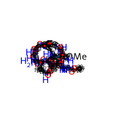 COc1ccc(C[C@@H]2NC(=O)[C@H]([C@@H](C)OCc3cn(CCNC(=O)OCc4ccccc4)nn3)NC(=O)[C@@H]3[C@@H]4CCN3C(=O)[C@@H]3Cc5cn(c6ccc(F)cc56)C/C=C/CCCN(Cc5ccc(cc5)CCNC(=O)[C@]5(C)CCCN5C2=O)C(=O)CCC(=O)N[C@@H](C)C(=O)N[C@H](CN)C(=O)N[C@@H](Cc2cccc(c2)CNC(=O)CO4)C(=O)N3)cc1